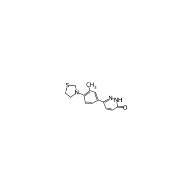 Cc1cc(-c2ccc(=O)[nH]n2)ccc1N1CCSC1